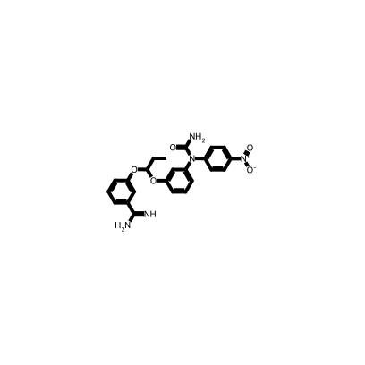 CCC(Oc1cccc(C(=N)N)c1)Oc1cccc(N(C(N)=O)c2ccc([N+](=O)[O-])cc2)c1